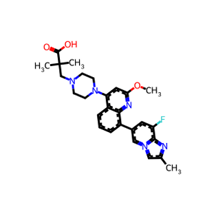 COc1cc(N2CCN(CC(C)(C)C(=O)O)CC2)c2cccc(-c3cc(F)c4nc(C)cn4c3)c2n1